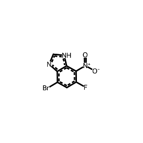 O=[N+]([O-])c1c(F)cc(Br)c2nc[nH]c12